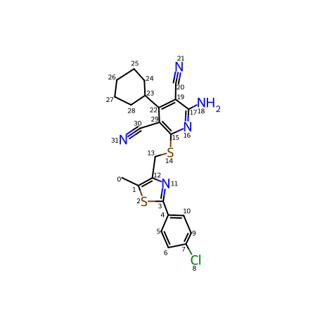 Cc1sc(-c2ccc(Cl)cc2)nc1CSc1nc(N)c(C#N)c(C2CCCCC2)c1C#N